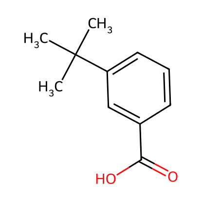 CC(C)(C)c1cccc(C(=O)O)c1